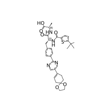 C[C@@H](NC(=O)[C@H](Cc1ccc(-c2ncc(C3=CCC4(CC3)OCCO4)cn2)cc1)NC(=O)c1ccc(C(C)(C)C)s1)C(=O)O